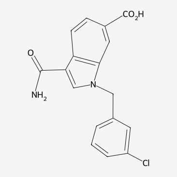 NC(=O)c1cn(Cc2cccc(Cl)c2)c2cc(C(=O)O)ccc12